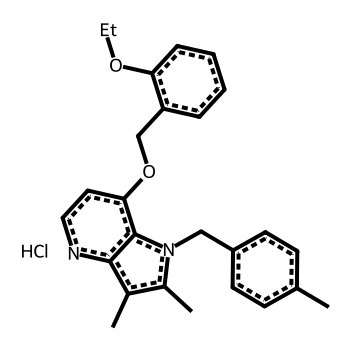 CCOc1ccccc1COc1ccnc2c(C)c(C)n(Cc3ccc(C)cc3)c12.Cl